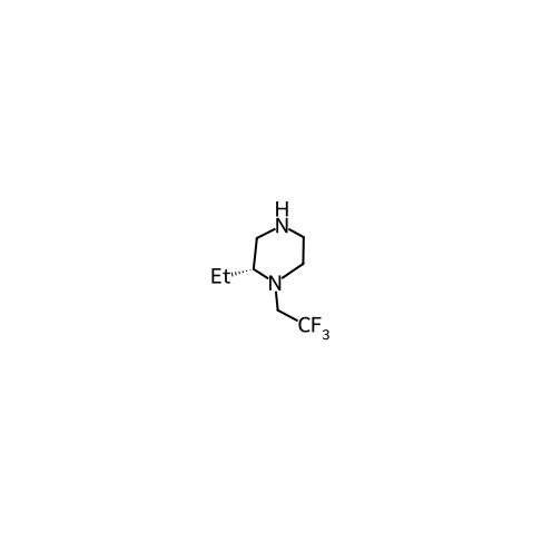 CC[C@@H]1CNCCN1CC(F)(F)F